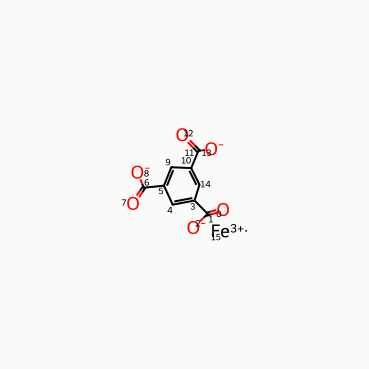 O=C([O-])c1cc(C(=O)[O-])cc(C(=O)[O-])c1.[Fe+3]